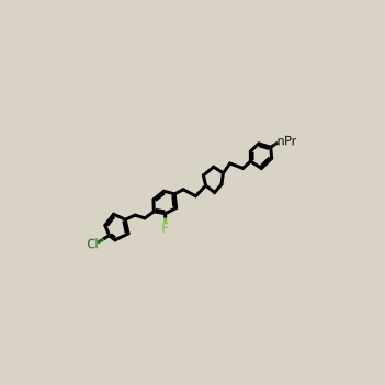 CCCc1ccc(CCC2CCC(CCc3ccc(CCc4ccc(Cl)cc4)c(F)c3)CC2)cc1